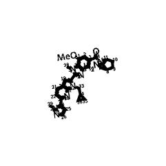 COc1cc(C(=O)N2CC3CCC2C3N)cc2nc(-c3cc4ccc(-c5ccnn5C)nc4n3CC3CC3)n(C)c12